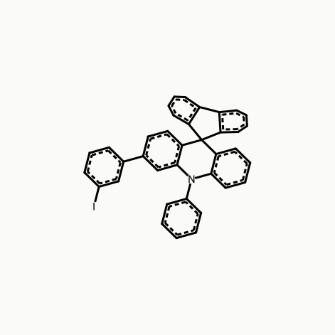 Ic1cccc(-c2ccc3c(c2)N(c2ccccc2)c2ccccc2C32c3ccccc3-c3ccccc32)c1